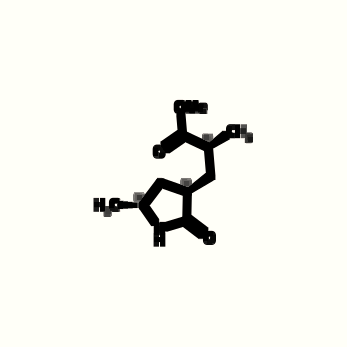 COC(=O)[C@@H](C)C[C@@H]1C[C@@H](C)NC1=O